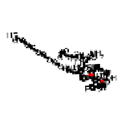 COc1ccccc1-c1nccc(COc2ccccc2C[C@@H](Oc2ncnc3sc(-c4ccc(F)cc4)c(-c4ccc(OCCN5CC[N+](C)(Cc6ccc(NC(=O)[C@H](CCCNC(N)=O)NC(=O)[C@@H](NC(=O)CCOCCN7C(=O)C=CC7=O)C(C)C)cc6COCc6cn(CCOCCOCCOCCOCCOCCOCCOCCOCCC(=O)O)nn6)CC5)c(Cl)c4C)c23)C(=O)O)n1